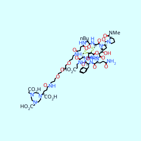 CCCC[C@H](NC(=O)CCC(=O)NCCCOCCOCCOCCCNC(=O)CC[C@H](C(=O)O)N1CCN(CC(=O)O)CCN(CC(=O)O)CC1)C(=O)N[C@@H](CSC1=C(SC[C@H](NC(=O)[C@H](Cc2ccccc2)NC(=O)[C@H](CCC(N)=O)NC(=O)C[C@@H](C)O)C(=O)NCCC(=O)O)C(=O)NC1=O)C(=O)N1CCC[C@H]1C(=O)N1CCC[C@H]1C(=O)NC